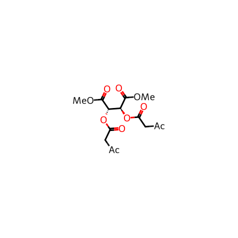 COC(=O)[C@@H](OC(=O)CC(C)=O)[C@H](OC(=O)CC(C)=O)C(=O)OC